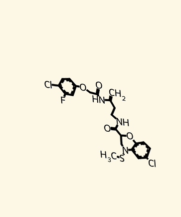 C=C(CCNC(=O)C1CN(SC)c2cc(Cl)ccc2O1)NC(=O)COc1ccc(Cl)c(F)c1